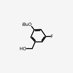 CC(C)COc1cc(F)cc(CO)c1